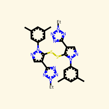 CCn1nnc(-c2cnn(-c3cc(C)cc(C)c3)c2SSc2c(-c3nnn(CC)n3)cnn2-c2cc(C)cc(C)c2)n1